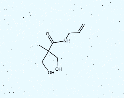 C=CCNC(=O)C(C)(CO)CO